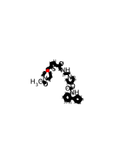 CC(=O)N1CCCN(Cc2ccc(C(=O)CNCCN3CCC(OC(=O)Nc4ccccc4-c4ccccc4)CC3)s2)CC1